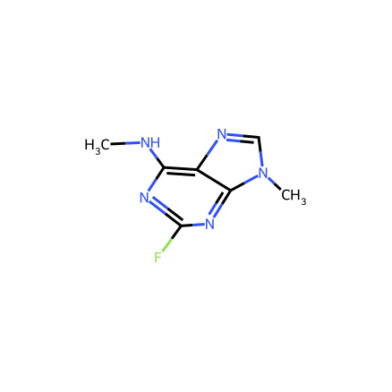 CNc1nc(F)nc2c1ncn2C